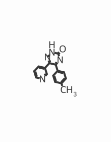 Cc1ccc(-c2nc(=O)[nH]nc2-c2cccnc2)cc1